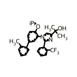 Cc1ccccc1-c1ccc(OC(C)C)c(-n2cc(C(C)(C)O)nc2-c2ccccc2C(F)(F)F)c1